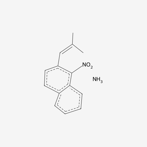 CC(C)=Cc1ccc2ccccc2c1[N+](=O)[O-].N